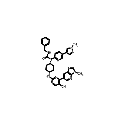 Cn1cc(-c2ccc(N(C(=O)NCc3ccccc3)[C@H]3CC[C@H](Nc4ncc(C#N)c(-c5cnc6c(c5)ncn6C)n4)CC3)nc2)cn1